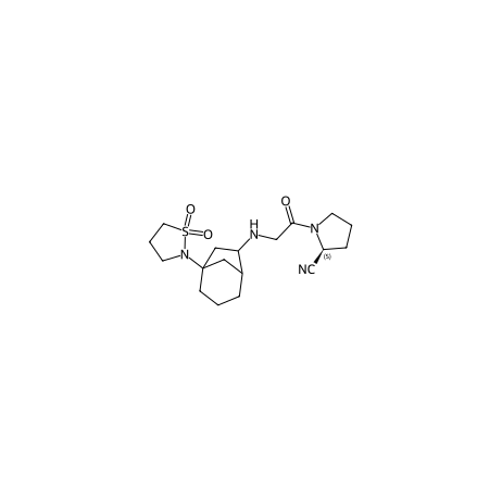 N#C[C@@H]1CCCN1C(=O)CNC1CC2(N3CCCS3(=O)=O)CCCC1C2